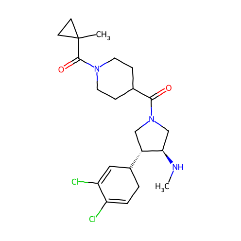 CN[C@@H]1CN(C(=O)C2CCN(C(=O)C3(C)CC3)CC2)C[C@H]1C1C=C(Cl)C(Cl)=CC1